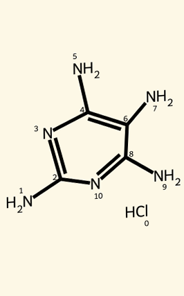 Cl.Nc1nc(N)c(N)c(N)n1